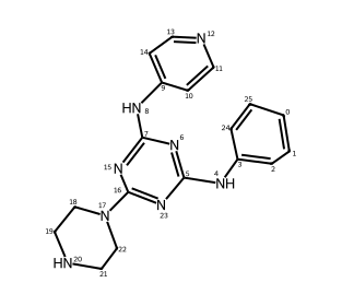 c1ccc(Nc2nc(Nc3ccncc3)nc(N3CCNCC3)n2)cc1